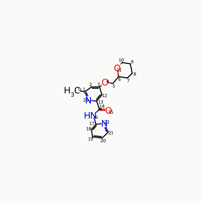 Cc1cc(OCC2CCCCO2)cc(C(=O)Nc2ccccn2)n1